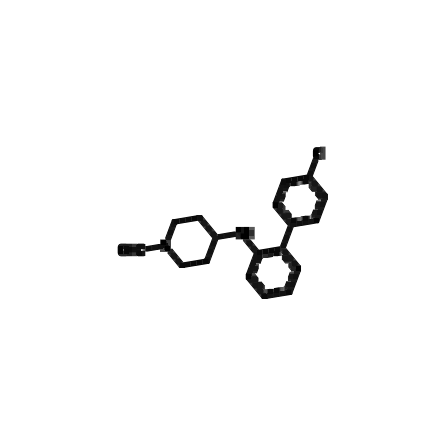 O=CN1CCC(Nc2ccccc2-c2ccc(Cl)cc2)CC1